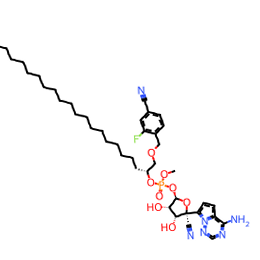 CCCCCCCCCCCCCCCCCCC[C@H](COCc1ccc(C#N)cc1F)OP(=O)(OC)O[C@H]1O[C@@](C#N)(c2ccc3c(N)ncnn23)[C@H](O)[C@@H]1O